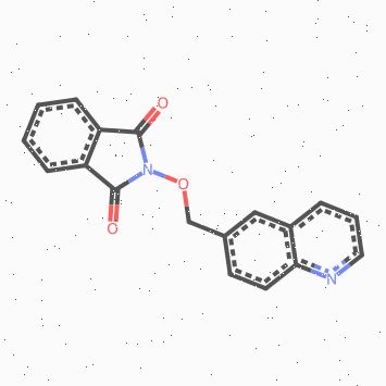 O=C1c2ccccc2C(=O)N1OCc1ccc2ncccc2c1